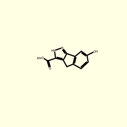 COC(=O)c1[nH]nc2c1Cc1ccc(O)cc1-2